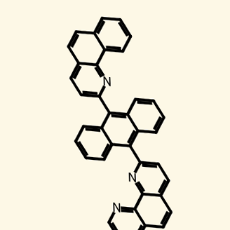 c1ccc2c(c1)ccc1ccc(-c3c4ccccc4c(-c4ccc5ccc6cccnc6c5n4)c4ccccc34)nc12